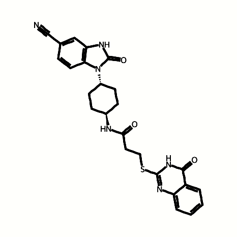 N#Cc1ccc2c(c1)[nH]c(=O)n2[C@H]1CC[C@H](NC(=O)CCSc2nc3ccccc3c(=O)[nH]2)CC1